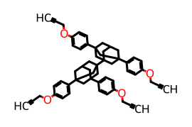 C#CCOc1ccc(C23CC4CC(c5ccc(OCC#C)cc5)(C2)CC(C25CC6CC(c7ccc(OCC#C)cc7)(CC(c7ccc(OCC#C)cc7)(C6)C2)C5)(C4)C3)cc1